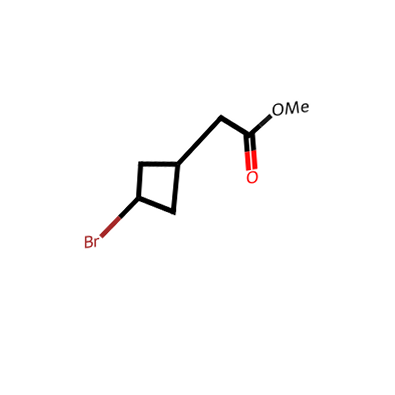 COC(=O)CC1CC(Br)C1